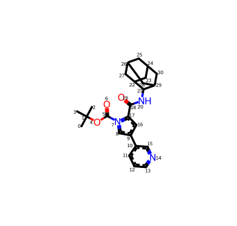 CC(C)(C)OC(=O)n1cc(-c2cccnc2)cc1C(=O)NC1C2CC3CC(C2)CC1C3